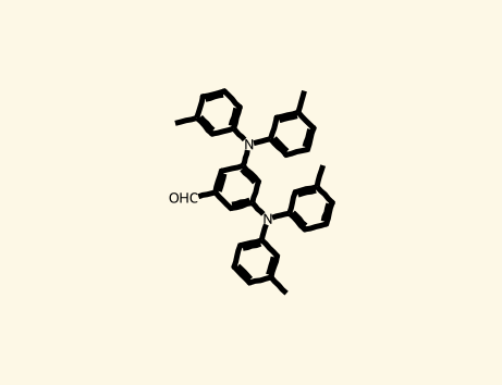 Cc1cccc(N(c2cccc(C)c2)c2cc(C=O)cc(N(c3cccc(C)c3)c3cccc(C)c3)c2)c1